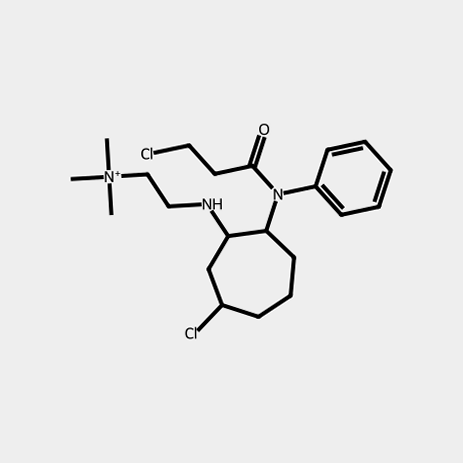 C[N+](C)(C)CCNC1CC(Cl)CCCC1N(C(=O)CCCl)c1ccccc1